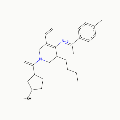 C=CC1=C(/N=C(\C)c2ccc(C)cc2)C(CCCC)CN(C(=C)C2CCC(BC)C2)C1